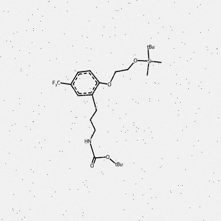 CC(C)(C)OC(=O)NCCCc1cc(C(F)(F)F)ccc1OCCO[Si](C)(C)C(C)(C)C